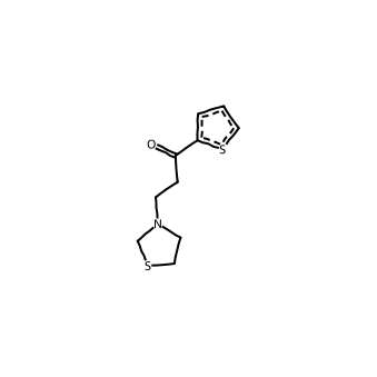 O=C(CCN1CCSC1)c1cccs1